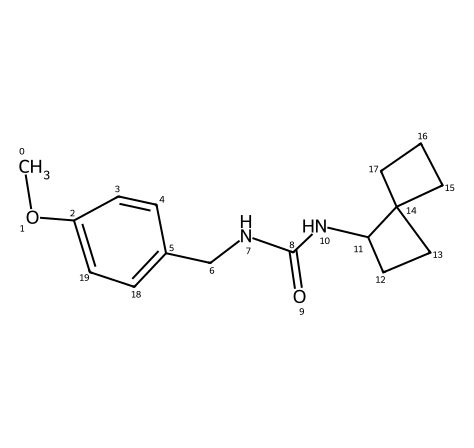 COc1ccc(CNC(=O)NC2CCC23CCC3)cc1